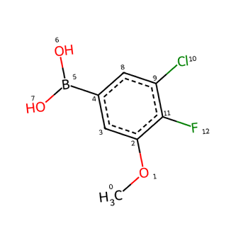 COc1cc(B(O)O)cc(Cl)c1F